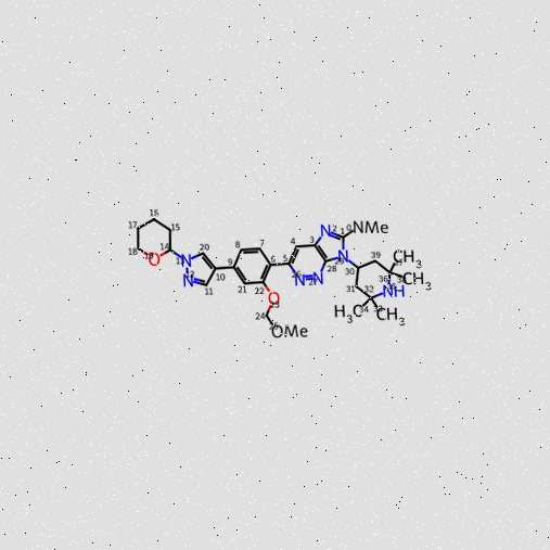 CNc1nc2cc(-c3ccc(-c4cnn(C5CCCCO5)c4)cc3OCOC)nnc2n1C1CC(C)(C)NC(C)(C)C1